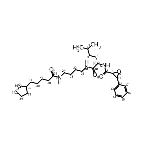 CC(C)CC[C@H](NC(=O)C1OC1c1ccccc1)C(=O)NCCCCNC(=O)CCCCC1CCSS1